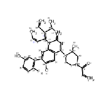 C=CC(=O)N1CCN(c2nc(=O)n(C(/C=C\C)=C(/C=C)C(C)C)c3nc(-c4cc(O)ccc4F)c(Cl)cc23)[C@@H](C)C1